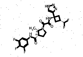 C[C@H]1[C@@H](C(=O)Nc2cc(F)c(F)c(F)c2)CCN1C(=O)C(=O)N[C@]1(c2c[nH]nn2)C[C@@H](C(F)F)C1